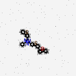 c1ccc(-c2nc(-c3ccc4c(c3)sc3ccc(-c5cccc6c5oc5ccccc56)cc34)nc(-c3ccc4sc5ccccc5c4c3)n2)cc1